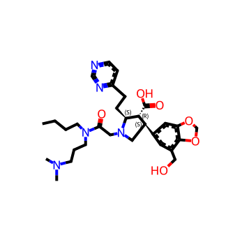 CCCCN(CCCN(C)C)C(=O)CN1C[C@H](c2cc(CO)c3c(c2)OCO3)[C@@H](C(=O)O)[C@@H]1CCc1ccncn1